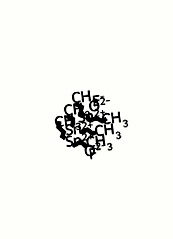 CCC[CH2][Sn+2][CH2]CCC.CCC[CH2][Sn+2][CH2]CCC.CCC[CH2][Sn+2][CH2]CCC.[F-].[F-].[O-2].[O-2]